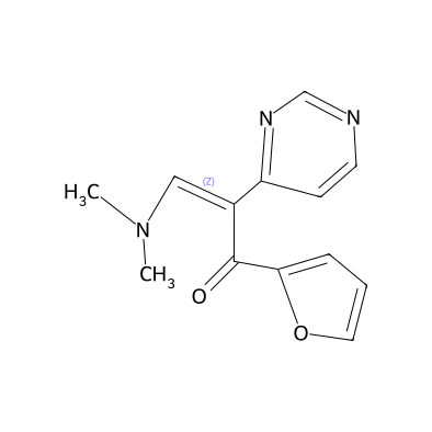 CN(C)/C=C(\C(=O)c1ccco1)c1ccncn1